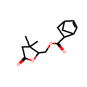 CC1(C)CC(=O)OC1COC(=O)C1CC2C=CC1C2